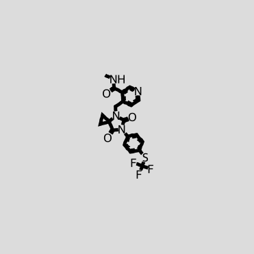 CNC(=O)c1cnccc1CN1C(=O)N(c2ccc(SC(F)(F)F)cc2)C(=O)C12CC2